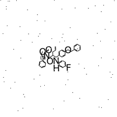 C=CCC(C(=O)N1C(=O)OC[C@@H]1c1ccccc1)C(Nc1ccc(F)cc1)c1ccc(OCc2ccccc2)cc1